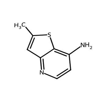 Cc1cc2nccc(N)c2s1